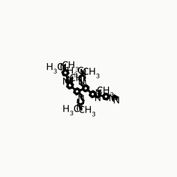 CN(C)c1ccc(-c2nc3ccc(-c4ccc(CN5CCC(N(C)C)CC5)c(-c5cc(-c6ccc7nc(-c8ccc(-n9ccnc9)cc8)n(C)c7c6)ccc5CN5CCC(N(C)C)CC5)c4)cc3n2C)cc1